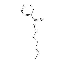 CCCCC[CH]OC(=O)C1=CC=CCC1